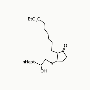 CCCCCCCC(O)CSC1CCC(=O)C1CCCCCCC(=O)OCC